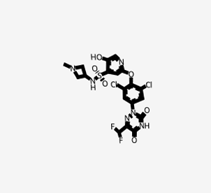 CN1CC(NS(=O)(=O)c2cc(Oc3c(Cl)cc(-n4nc(C(F)F)c(=O)[nH]c4=O)cc3Cl)ncc2O)C1